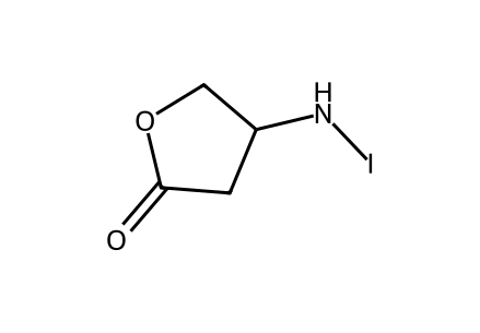 O=C1CC(NI)CO1